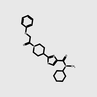 CN(C(=O)c1csc(C2CCN(C(=O)COc3ccccc3)CC2)n1)C1CCCCC1